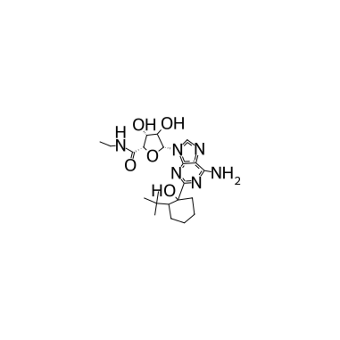 CCNC(=O)[C@H]1O[C@@H](n2cnc3c(N)nc(C4(O)CCCCC4C(C)(C)C)nc32)C(O)[C@H]1O